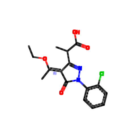 CCO/C(C)=C1/C(=O)N(c2ccccc2Cl)N=C1C(C)C(=O)O